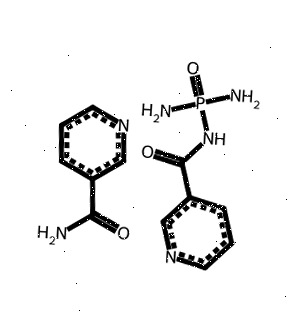 NC(=O)c1cccnc1.NP(N)(=O)NC(=O)c1cccnc1